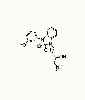 CNC[C@H](O)CCN1c2ccccc2N(c2cccc(OC)c2)S1(O)O